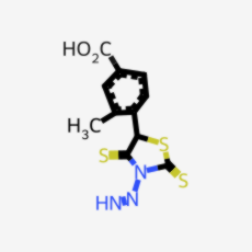 Cc1cc(C(=O)O)ccc1C1SC(=S)N(N=N)C1=S